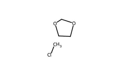 C1COCO1.CCl